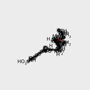 CC[C@H](C)[C@@H]([C@@H](CC(=O)N1CCC[C@H]1[C@H](OC)[C@@H](C)C(=O)N[C@H](C)[C@@H](O)c1ccccc1)OC)N(C)C(=O)[C@@H](NC(=O)[C@H](C(C)C)N(C)C(=O)OCc1ccc(NC(=O)[C@H](CCCNC(N)=O)NC(=O)[C@@H](NC(=O)[C@H](N)CCCCNC(=O)COC2CCCCCc3c2nnn3CCOCCOCCOCCOCCC(=O)NCCS(=O)(=O)O)C(C)C)cc1)C(C)C